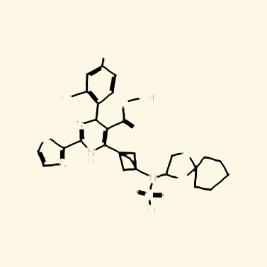 COC(=O)C1=C(C23CC(N(C4COC5(CCCCC5)O4)S(C)(=O)=O)(C2)C3)NC(c2nccs2)=NC1c1ccc(F)cc1Cl